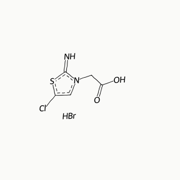 Br.N=c1sc(Cl)cn1CC(=O)O